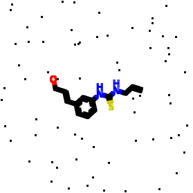 C=CCNC(=S)Nc1cccc(C=CC[O])c1